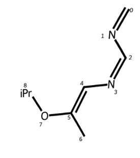 C=N/C=N\C=C(/C)OC(C)C